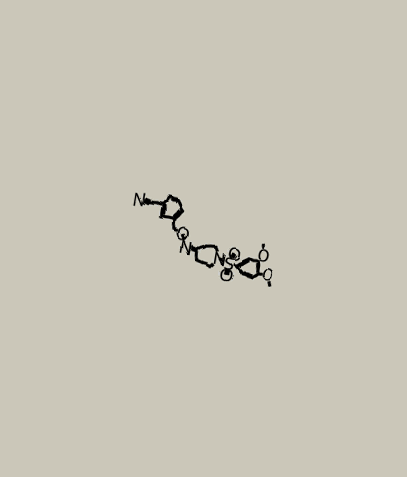 COc1ccc(S(=O)(=O)N2CCC(=NOCc3cccc(C#N)c3)CC2)cc1OC